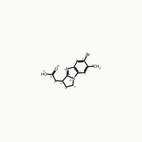 Cc1cc2c(cc1Br)nc1n2CCC1CC(=O)O